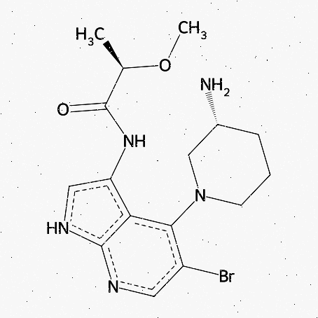 CO[C@H](C)C(=O)Nc1c[nH]c2ncc(Br)c(N3CCC[C@@H](N)C3)c12